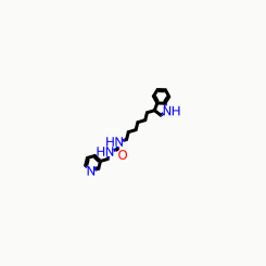 O=C(NCCCCCCC1CNc2ccccc21)NCc1cccnc1